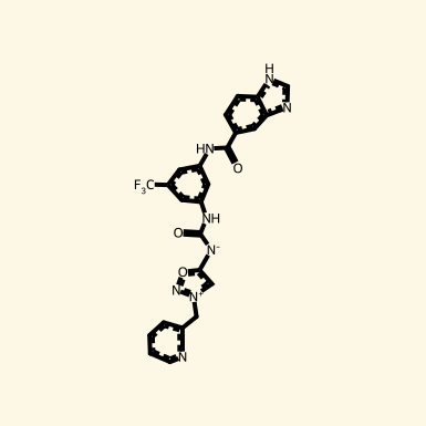 O=C([N-]c1c[n+](Cc2ccccn2)no1)Nc1cc(NC(=O)c2ccc3[nH]cnc3c2)cc(C(F)(F)F)c1